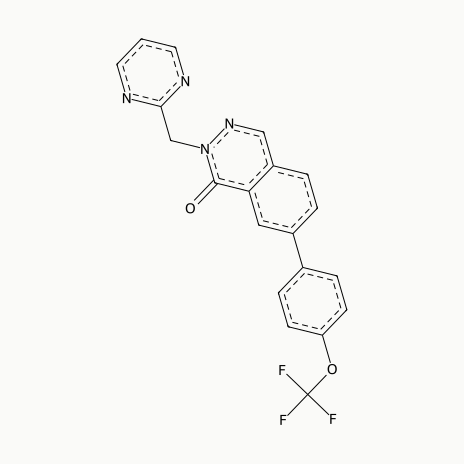 O=c1c2cc(-c3ccc(OC(F)(F)F)cc3)ccc2cnn1Cc1ncccn1